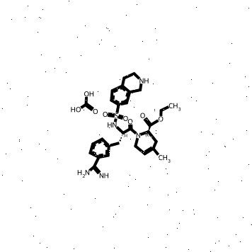 CCOC(=O)[C@H]1CC(C)=CCN1C(=O)[C@H](Cc1cccc(C(=N)N)c1)NS(=O)(=O)c1ccc2c(c1)CNCC2.O=C(O)O